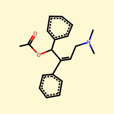 CC(=O)OC(C(=CCN(C)C)c1ccccc1)c1ccccc1